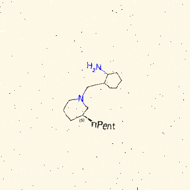 CCCCC[C@H]1CCCN(CC2CCCCC2N)C1